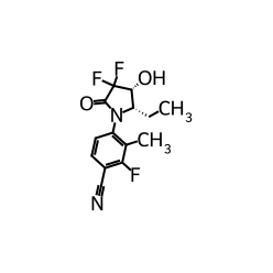 CC[C@H]1[C@@H](O)C(F)(F)C(=O)N1c1ccc(C#N)c(F)c1C